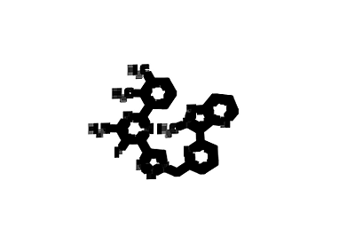 Cc1cccc(-c2nc(N)c(F)c(-c3cn(Cc4cccc(-c5c6ncccc6nn5C)n4)nn3)n2)c1C